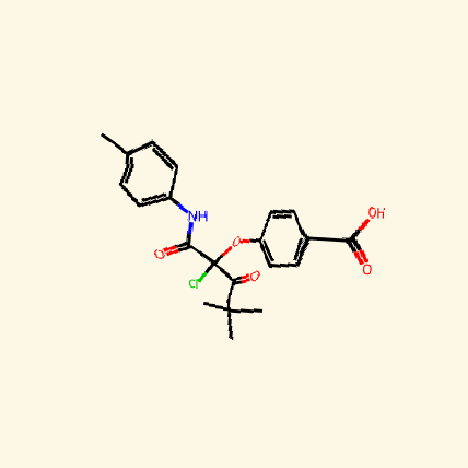 Cc1ccc(NC(=O)C(Cl)(Oc2ccc(C(=O)O)cc2)C(=O)C(C)(C)C)cc1